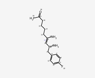 N/C(=C\N(N)Cc1ccc(F)cc1)CCCCC(=O)P